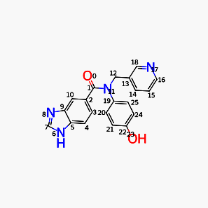 O=C(c1ccc2[nH]cnc2c1)N(Cc1cccnc1)c1ccc(O)cc1